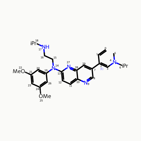 C=C/C(=C\N(C)C(C)C)c1cnc2ccc(N(CCNC(C)C)c3cc(OC)cc(OC)c3)nc2c1